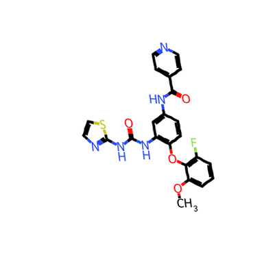 COc1cccc(F)c1Oc1ccc(NC(=O)c2ccncc2)cc1NC(=O)Nc1nccs1